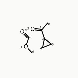 CC(=O)C1CC1.COC=O